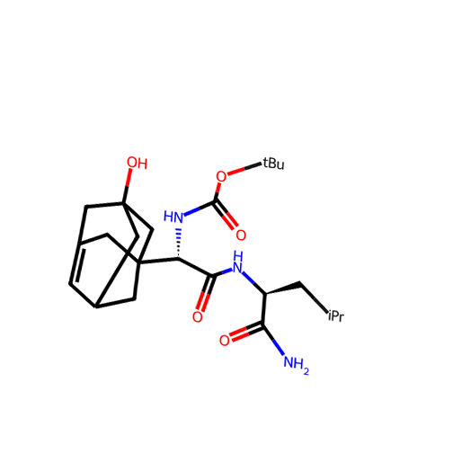 CC(C)C[C@H](NC(=O)[C@@H](NC(=O)OC(C)(C)C)C12CC3=CC(CC(O)(C3)C1)C2)C(N)=O